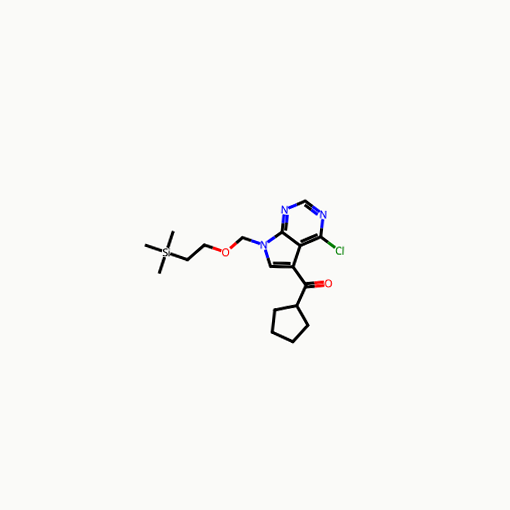 C[Si](C)(C)CCOCn1cc(C(=O)C2CCCC2)c2c(Cl)ncnc21